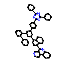 c1ccc(-c2nc(-c3ccccc3)nc(-c3ccc(-c4cc(-c5ccccc5-c5ccccc5)cc(-c5ccc(-c6nc7ccccc7c7ccncc67)c6ccccc56)c4)cc3)n2)cc1